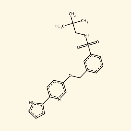 CC(C)(CNS(=O)(=O)c1cccc(COc2ccc(-c3ccn[nH]3)nc2)c1)C(=O)O